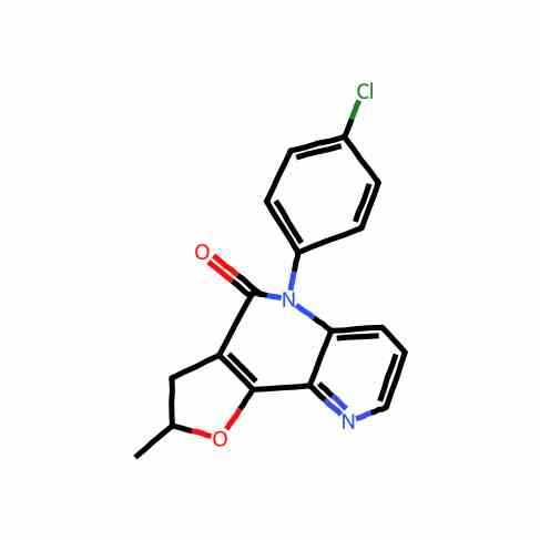 CC1Cc2c(c3ncccc3n(-c3ccc(Cl)cc3)c2=O)O1